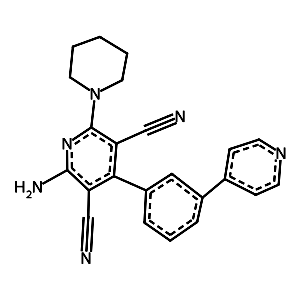 N#Cc1c(N)nc(N2CCCCC2)c(C#N)c1-c1cccc(-c2ccncc2)c1